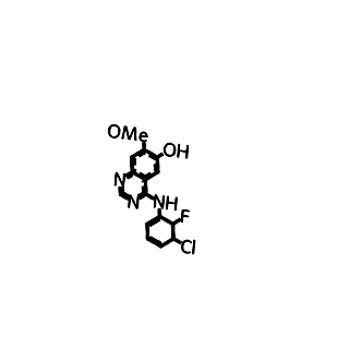 COc1cc2ncnc(NC3=CC=CC(Cl)C3F)c2cc1O